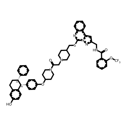 O=C(NCc1cc2c3ccccc3nc(SCC3CCN(CC(=O)N4CCC(Oc5ccc([C@@H]6c7ccc(O)cc7CC[C@@H]6c6ccccc6)cc5)CC4)CC3)n2n1)c1ccccc1OC(F)(F)F